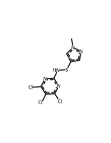 Cn1cc(SNc2nc(Cl)c(Cl)c(Cl)n2)cn1